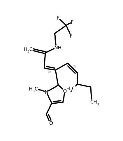 C=C(/C=C(\C=C/C(C)CC)C1OC=C(C=O)N1C)NCC(F)(F)F